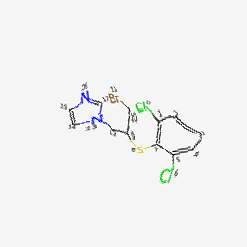 Clc1cccc(Cl)c1SC(CBr)Cn1ccnc1